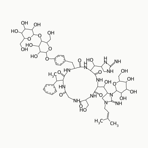 CC(C)=CCN1CC(C(O)C2NC(=O)C(C(O)C3CNC(=N)N3)NC(=O)C(Cc3ccc(OC4OC(CO)C(OC5OC(CO)C(O)C(O)C5O)C(O)C4O)cc3)NC(=O)C(C(C)c3ccccc3)NC(=O)CNC(=O)C(CO)NC2=O)N(C2OC(CO)C(O)C(O)C2O)C1=N